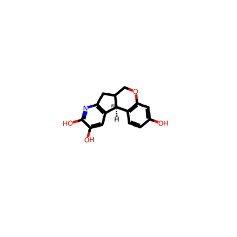 Oc1ccc2c(c1)OCC1Cc3nc(O)c(O)cc3[C@H]21